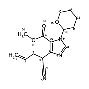 C=CCC(C#N)c1ncn(C2CCCCO2)c1C(=O)OC